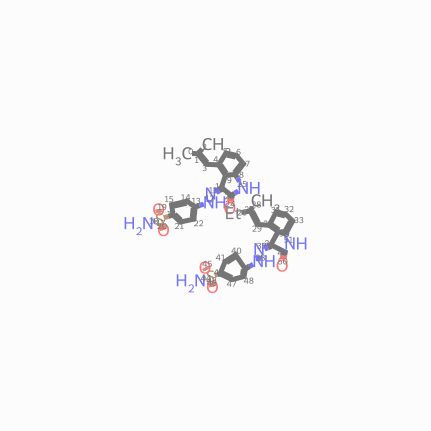 CC(C)=Cc1cccc2c1C(=NNc1ccc(S(N)(=O)=O)cc1)C(=O)N2.CCC(C)=Cc1cccc2c1C(=NNc1ccc(S(N)(=O)=O)cc1)C(=O)N2